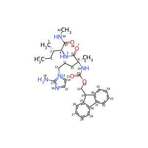 CC[C@H](C)[C@H](NC(=O)[C@](C)(CCCn1ccnc1N)NC(=O)OCC1c2ccccc2-c2ccccc21)C(=O)NC